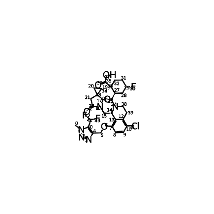 Cn1nnc(COc2ccc(Cl)c3c2[C@@H](CN2CC4(CC4)CC2=O)N(C(=O)[C@@H]2C[C@@H](F)CC[C@]2(C)C(=O)O)CC3)c1C(F)F